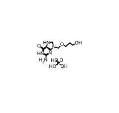 Nc1nc2c(c(=O)[nH]1)NCN2COCCCO.O=P(O)(O)O